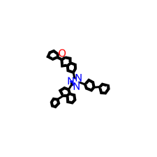 c1ccc(-c2ccc(-c3nc(-c4ccc5cc6oc7ccccc7c6cc5c4)nc(-c4ccc(-c5ccccc5)c5ccccc45)n3)cc2)cc1